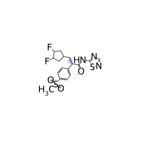 CS(=O)(=O)c1ccc(/C(=C\C2CC(F)C(F)C2)C(=O)Nc2ncns2)cc1